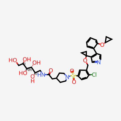 O=C(CC1CCN(S(=O)(=O)c2ccc(Cl)c(COC3(c4cnccc4-c4ccccc4OC4CC4)CC3)c2)CC1)NC[C@H](O)[C@@H](O)[C@H](O)[C@H](O)CO